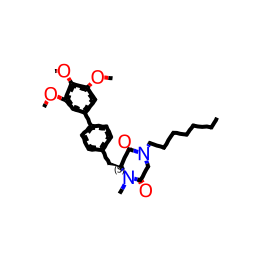 CCCCCCCN1CC(=O)N(C)[C@@H](Cc2ccc(-c3cc(OC)c(OC)c(OC)c3)cc2)C1=O